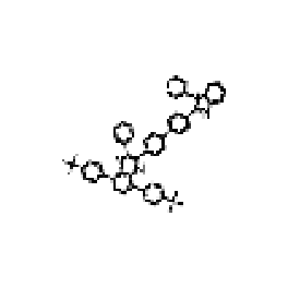 CC(C)(C)c1ccc(-c2ccc(-c3ccc(C(C)(C)C)cc3)c3nc(-c4ccc(-c5ccc(-c6nc7ccccc7n6-c6ccccc6)cc5)cc4)c(-c4ccccc4)nc23)cc1